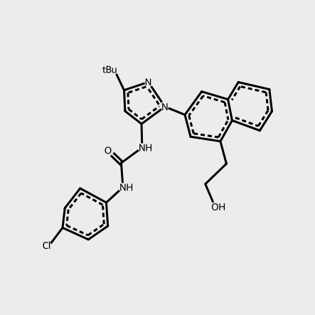 CC(C)(C)c1cc(NC(=O)Nc2ccc(Cl)cc2)n(-c2cc(CCO)c3ccccc3c2)n1